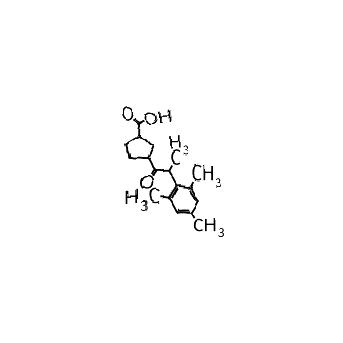 Cc1cc(C)c(C(C)C(=O)C2CCC(C(=O)O)C2)c(C)c1